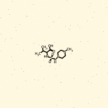 CC(C)C(NS(=O)(=O)NN1CCN(C)CC1)C(=O)O